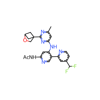 CC(=O)Nc1cc(Nc2cc(C)nc(C34COC(C3)C4)n2)c(-c2cc(C(F)F)ccn2)cn1